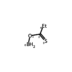 BOC(=S)CC